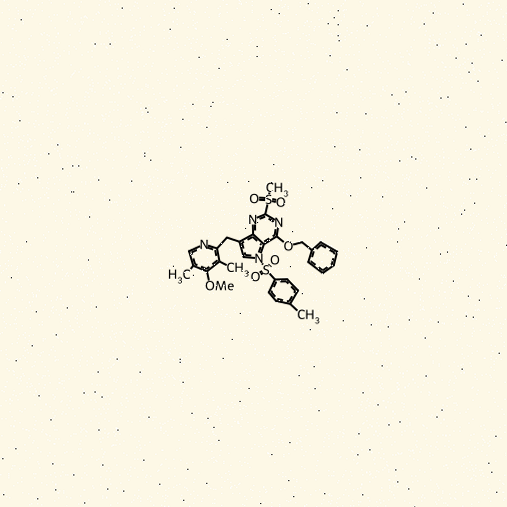 COc1c(C)cnc(Cc2cn(S(=O)(=O)c3ccc(C)cc3)c3c(OCc4ccccc4)nc(S(C)(=O)=O)nc23)c1C